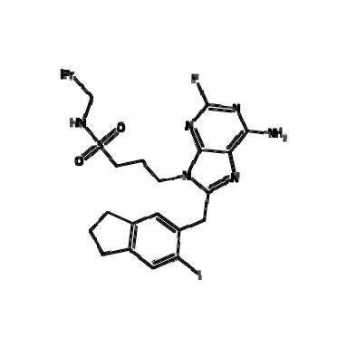 CC(C)CNS(=O)(=O)CCCn1c(Cc2cc3c(cc2I)CCC3)nc2c(N)nc(F)nc21